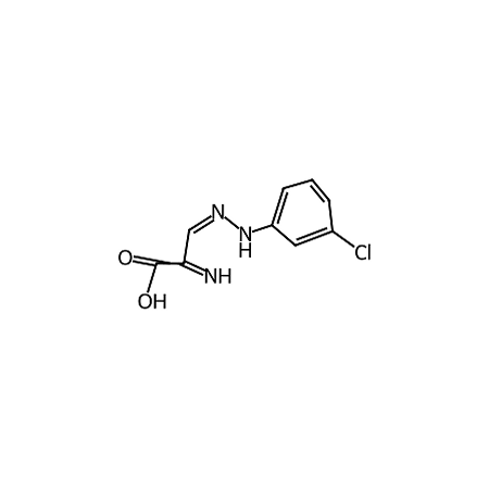 N=C(/C=N\Nc1cccc(Cl)c1)C(=O)O